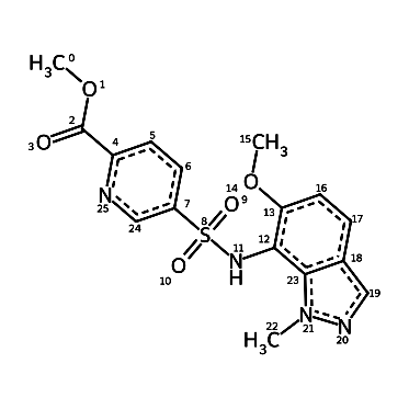 COC(=O)c1ccc(S(=O)(=O)Nc2c(OC)ccc3cnn(C)c23)cn1